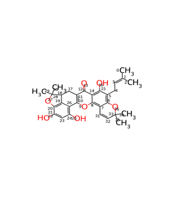 CC(C)=CCc1c2c(c3oc4c(c(=O)c3c1O)CC1c3c(c(O)cc(O)c3-4)OC1(C)C)C=CC(C)(C)O2